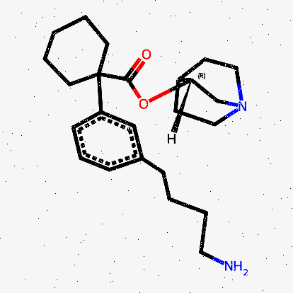 NCCCCc1cccc(C2(C(=O)O[C@H]3CN4CCC3CC4)CCCCC2)c1